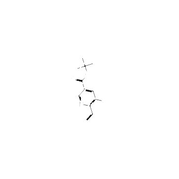 C=Cc1ncc(C(=O)OC(C)(C)C)cc1Cl